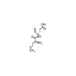 CSCC[C@H](N)C(=O)N[C@H]([C]=O)CCC(=O)O